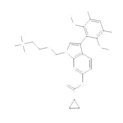 COc1c(F)cc(F)c(OC)c1-c1cn(COCC[Si](C)(C)C)c2nc(NC(=O)[C@@H]3C[C@@H]3F)ccc12